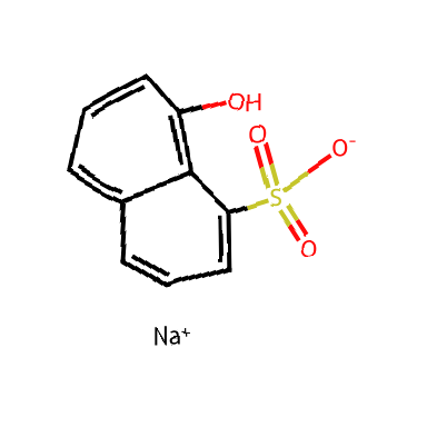 O=S(=O)([O-])c1cccc2cccc(O)c12.[Na+]